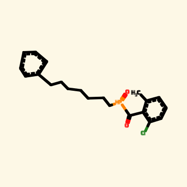 Cc1cccc(Cl)c1C(=O)[PH](=O)CCCCCCCc1ccccc1